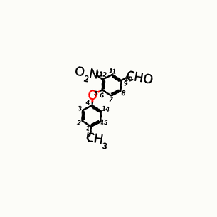 Cc1ccc(Oc2ccc(C=O)cc2[N+](=O)[O-])cc1